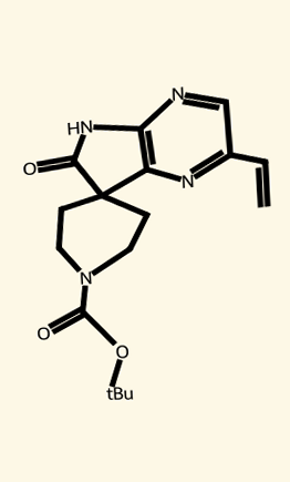 C=Cc1cnc2c(n1)C1(CCN(C(=O)OC(C)(C)C)CC1)C(=O)N2